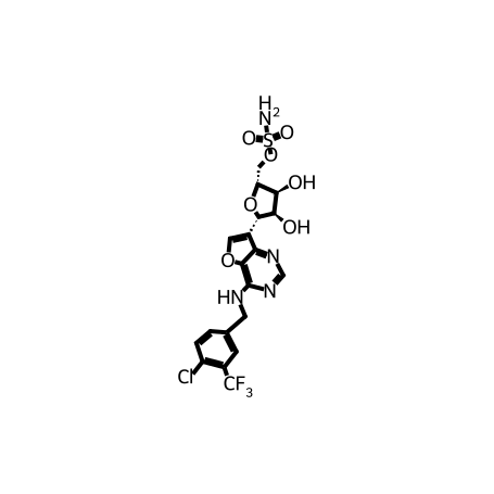 NS(=O)(=O)OC[C@H]1O[C@@H](c2coc3c(NCc4ccc(Cl)c(C(F)(F)F)c4)ncnc23)[C@H](O)[C@@H]1O